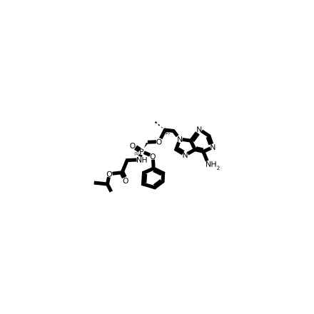 CC(C)OC(=O)CN[P@](=O)(CO[C@H](C)Cn1cnc2c(N)ncnc21)Oc1ccccc1